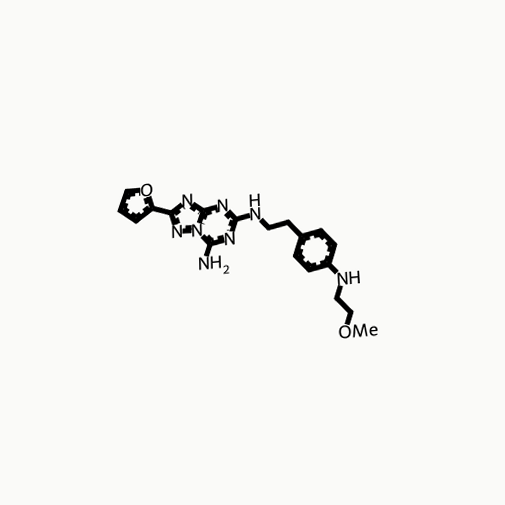 COCCNc1ccc(CCNc2nc(N)n3nc(-c4ccco4)nc3n2)cc1